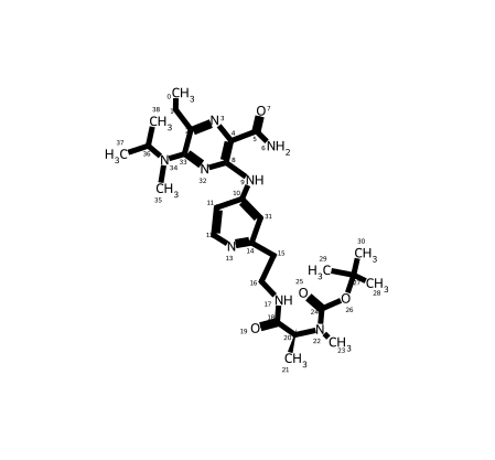 CCc1nc(C(N)=O)c(Nc2ccnc(CCNC(=O)[C@H](C)N(C)C(=O)OC(C)(C)C)c2)nc1N(C)C(C)C